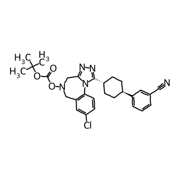 CC(C)(C)OC(=O)ON1Cc2cc(Cl)ccc2-n2c(nnc2[C@H]2CC[C@H](c3cccc(C#N)c3)CC2)C1